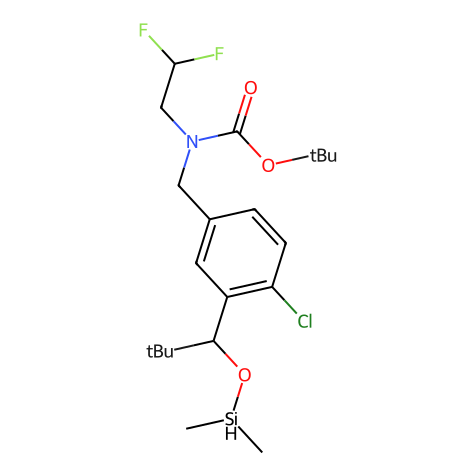 C[SiH](C)OC(c1cc(CN(CC(F)F)C(=O)OC(C)(C)C)ccc1Cl)C(C)(C)C